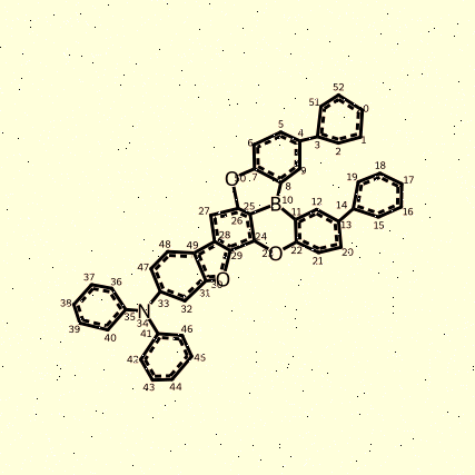 c1ccc(-c2ccc3c(c2)B2c4cc(-c5ccccc5)ccc4Oc4c2c(cc2c4oc4cc(N(c5ccccc5)c5ccccc5)ccc42)O3)cc1